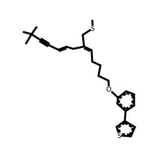 CSC/C(=C/CCCCOc1cccc(-c2ccsc2)c1)C/C=C/C#CC(C)(C)C